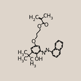 C=C(C)C(=O)OCCCOc1cc(N=Nc2cccc3ccccc23)c(O)c(C(C)(C)C)c1